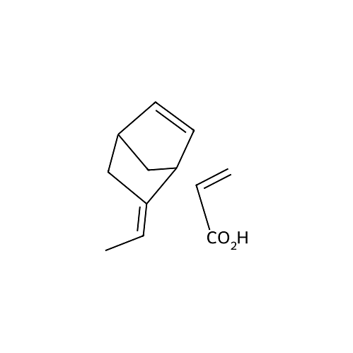 C=CC(=O)O.CC=C1CC2C=CC1C2